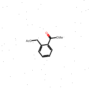 COC(=O)c1ccccc1COC(C)=O